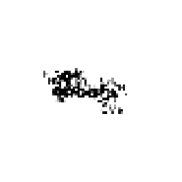 COC(=O)C[C@@H]1N=C(c2ccc(C3C=C(C(F)(F)F)C(C(=O)N[C@H](C(=O)N4CCC[C@H]4C(=O)N[C@@H](C)c4ccc(-c5scnc5C)cc4)C(C)(C)C)=CC3)cc2)c2c(sc(C)c2C)-n2c(C)nnc21